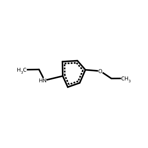 CCNc1ccc(OCC)cc1